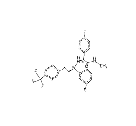 CNC(=O)[C@@H](N[C@H](CCc1ccc(C(F)(F)F)nc1)c1cccc(F)c1)c1ccc(F)cc1